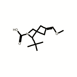 COC=C1CC2(C1)CN(C(=O)O)C2C(C)(C)C